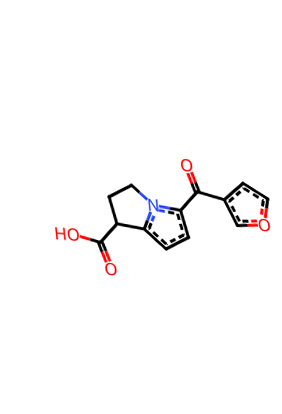 O=C(c1ccoc1)c1ccc2n1CCC2C(=O)O